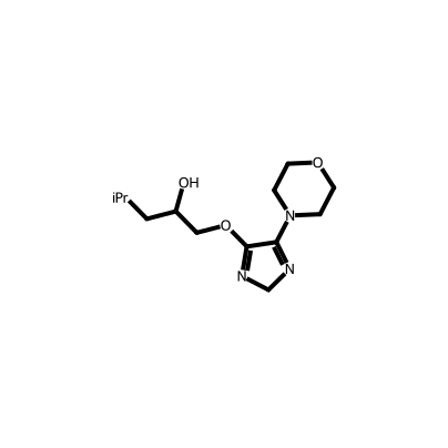 CC(C)CC(O)COC1=NCN=C1N1CCOCC1